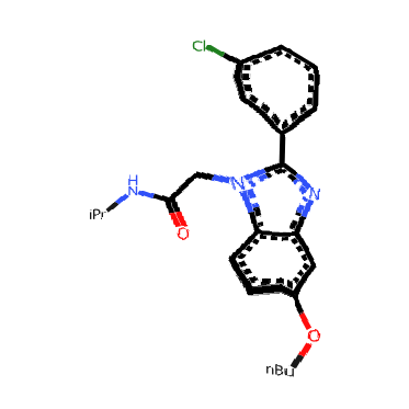 CCCCOc1ccc2c(c1)nc(-c1cccc(Cl)c1)n2CC(=O)NC(C)C